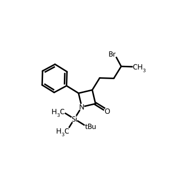 CC(Br)CCC1C(=O)N([Si](C)(C)C(C)(C)C)C1c1ccccc1